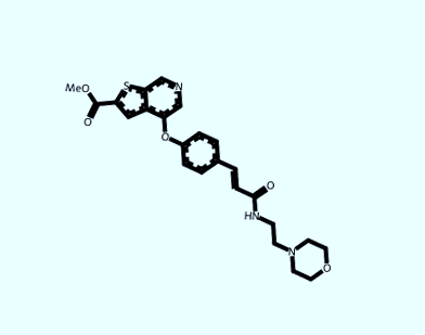 COC(=O)c1cc2c(Oc3ccc(/C=C/C(=O)NCCN4CCOCC4)cc3)cncc2s1